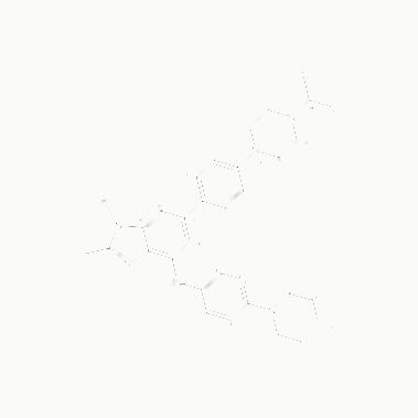 Cc1nc2c(Nc3ccc(N4CCOCC4)nn3)cc(-c3ccc(N4CCN(C(C)C)CC4)cc3)cc2n1C